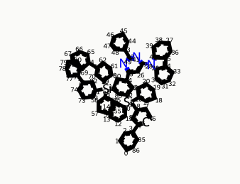 c1ccc(-c2cccc([Si](c3ccccc3)(c3ccccc3)c3cc(-c4cc(-n5c6ccccc6c6ccccc65)nc(-c5ccccc5)n4)cc([Si](c4ccccc4)(c4cccc(-c5ccccc5)c4)c4cccc(-c5ccccc5)c4)c3)c2)cc1